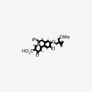 COCC1(COc2cc3c(cc2Cl)-c2cc(=O)c(C(=O)O)cn2C(C(C)C)C3)CC1